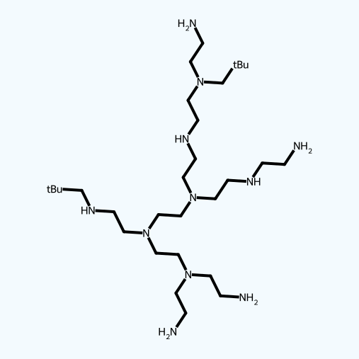 CC(C)(C)CNCCN(CCN(CCN)CCN)CCN(CCNCCN)CCNCCN(CCN)CC(C)(C)C